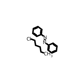 CCCCCCl.c1ccc(N=Nc2ccccc2)cc1